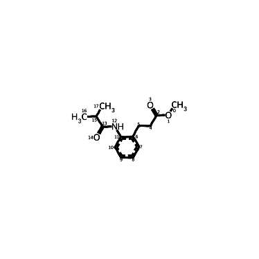 COC(=O)CCc1ccccc1NC(=O)C(C)C